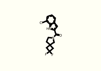 O=C(c1cc2cccc(Cl)c2[nH]1)N1CCC2(C1)CC(F)(F)C2